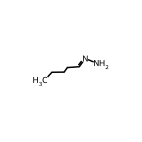 CCCCC=NN